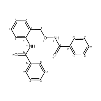 O=C(NOCc1ccccc1NC(=O)c1ccccc1)c1ccccc1